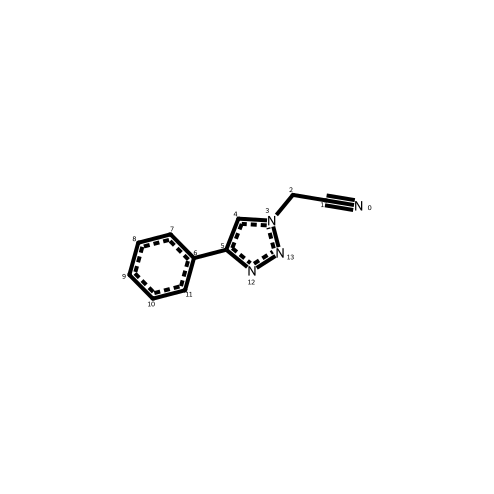 N#CCn1cc(-c2ccccc2)nn1